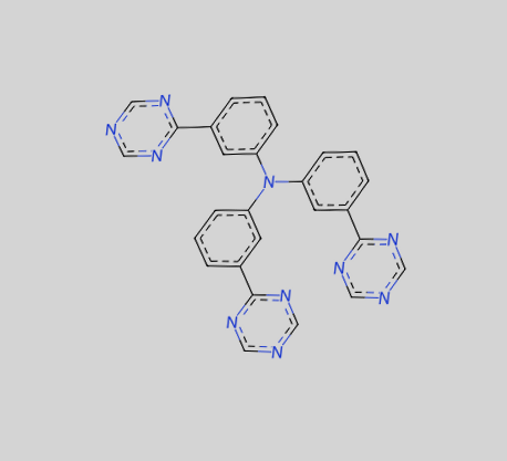 c1cc(-c2ncncn2)cc(N(c2cccc(-c3ncncn3)c2)c2cccc(-c3ncncn3)c2)c1